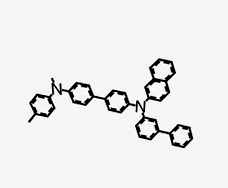 Cc1ccc(N(C)c2ccc(-c3ccc(N(c4cccc(-c5ccccc5)c4)c4ccc5ccccc5c4)cc3)cc2)cc1